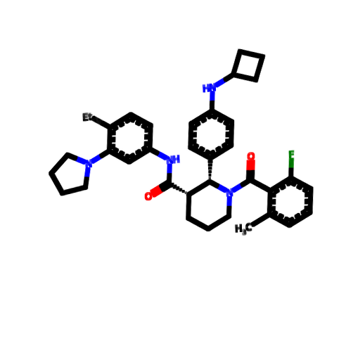 CCc1ccc(NC(=O)[C@H]2CCCN(C(=O)c3c(C)cccc3F)[C@H]2c2ccc(NC3CCC3)cc2)cc1N1CCCC1